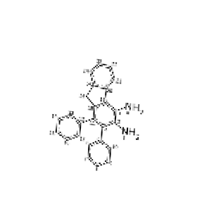 Nc1c(N)c(-c2ccccc2)c(-c2ccccc2)c2c1-c1ccccc1C2